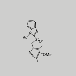 COc1c(C)cnc(C[S+]([O-])c2nc3ccccc3n2C(C)=O)c1C